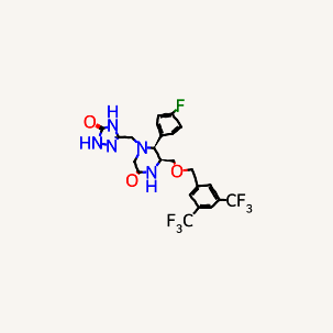 O=C1CN(Cc2n[nH]c(=O)[nH]2)[C@@H](c2ccc(F)cc2)[C@@H](COCc2cc(C(F)(F)F)cc(C(F)(F)F)c2)N1